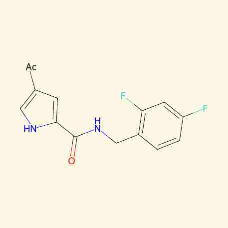 CC(=O)c1c[nH]c(C(=O)NCc2ccc(F)cc2F)c1